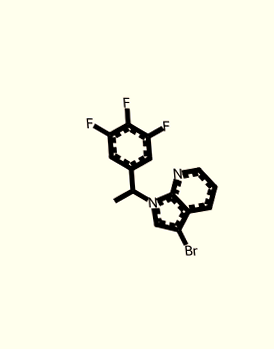 CC(c1cc(F)c(F)c(F)c1)n1cc(Br)c2cccnc21